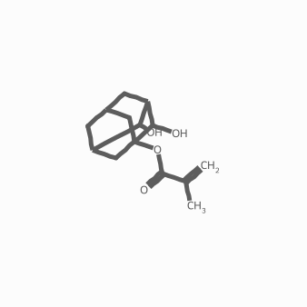 C=C(C)C(=O)OC12CC3CC(C1)C(O)C(C3)C2O